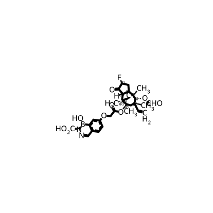 C=C[C@]1(C)C[C@@H](OC(=O)COc2ccc3c(c2)B(O)N(C(=O)O)N=C3)[C@]2(C)[C@H](C)CC[C@]3(C[C@H](F)C(=O)[C@H]32)[C@@H](C)[C@@H]1OC=O